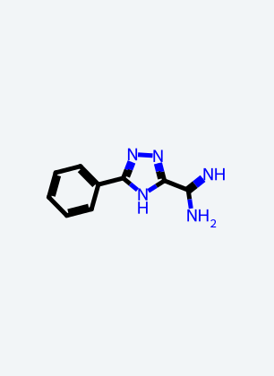 N=C(N)c1nnc(-c2ccccc2)[nH]1